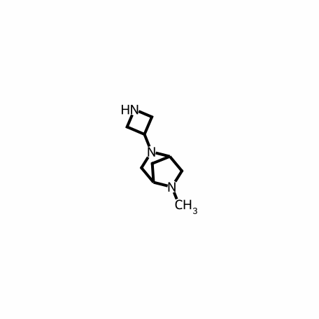 CN1CC2CC1CN2C1CNC1